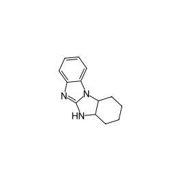 c1ccc2c(c1)nc1n2C2CCCCC2N1